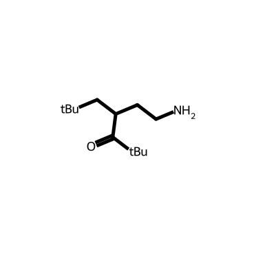 CC(C)(C)CC(CCN)C(=O)C(C)(C)C